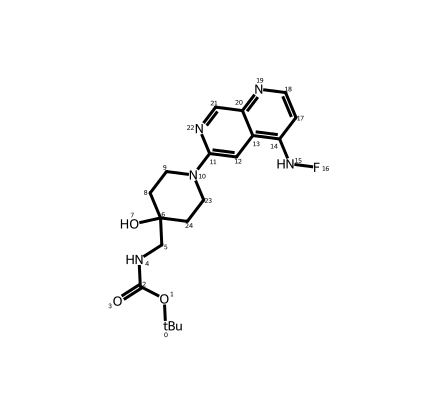 CC(C)(C)OC(=O)NCC1(O)CCN(c2cc3c(NF)ccnc3cn2)CC1